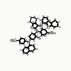 CC(C)(C)c1ccc(N(c2ccc3c(c2)Sc2cc(C(C)(C)C)cc4c2B3c2oc3c(c2N4c2cccc4c2oc2ccccc24)CCCC3)c2cccc3ccccc23)cc1